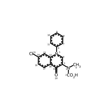 CN(C(=O)O)c1cn(-c2ccccc2)c2cc(Cl)ccc2c1=O